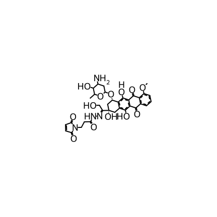 COc1cccc2c1C(=O)c1c(O)c3c(c(O)c1C2=O)C[C@@](O)(/C(CO)=N/NC(=O)CCN1C(=O)C=CC1=O)C[C@@H]3OC1CC(N)C(O)C(C)O1